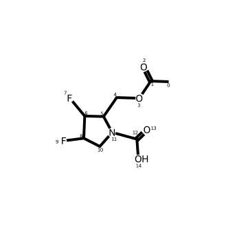 CC(=O)OCC1C(F)C(F)CN1C(=O)O